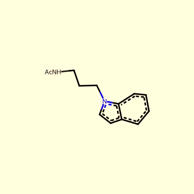 CC(=O)NCCCn1ccc2ccccc21